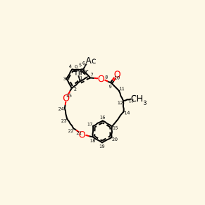 CCCc1c2ccc(C(C)=O)c1OC(=O)CC(C)Cc1ccc(cc1)OCCCO2